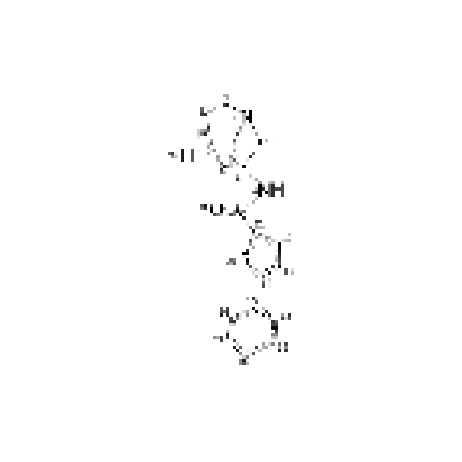 O=C(N[C@@H]1C[C@H]2CCN(C2)C1)c1ccc(-c2ccccc2)s1